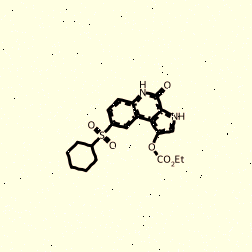 CCOC(=O)Oc1c[nH]c2c(=O)[nH]c3ccc(S(=O)(=O)C4CCCCC4)cc3c12